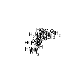 C[C@@H](O)[C@H](NC(=O)[C@@H](N)CCC(N)=O)C(=O)N[C@@H](CC(N)=O)C(=O)N[C@@H](Cc1ccc(O)cc1)C(=O)N[C@@H](Cc1ccc(O)cc1)C(=O)N[C@@H](CCCNC(=N)N)C(=O)O